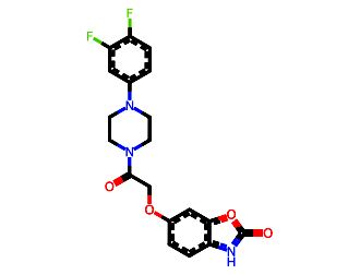 O=C(COc1ccc2[nH]c(=O)oc2c1)N1CCN(c2ccc(F)c(F)c2)CC1